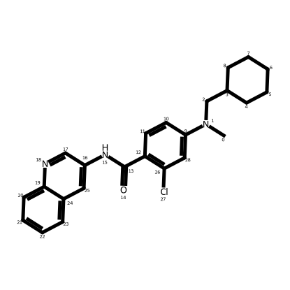 CN(CC1CCCCC1)c1ccc(C(=O)Nc2cnc3ccccc3c2)c(Cl)c1